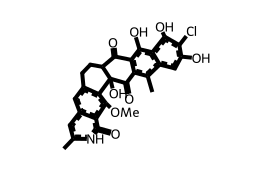 COc1c2c(cc3cc(C)[nH]c(=O)c13)CCC1C(=O)c3c(c(C)c4cc(O)c(Cl)c(O)c4c3O)C(=O)C21O